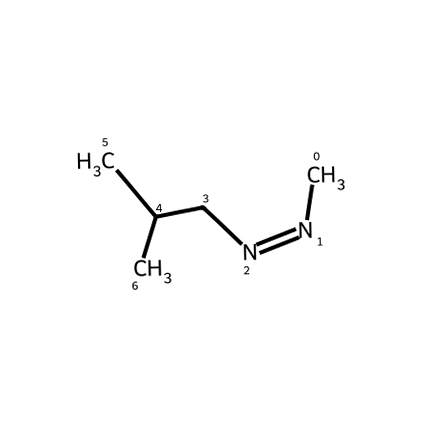 C/N=N\CC(C)C